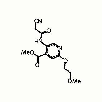 COCCOc1cc(C(=O)OC)c(NC(=O)CC#N)cn1